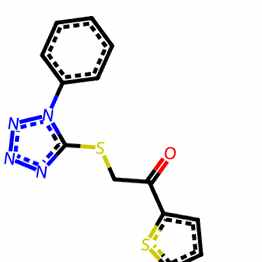 O=C(CSc1nnnn1-c1ccccc1)c1cccs1